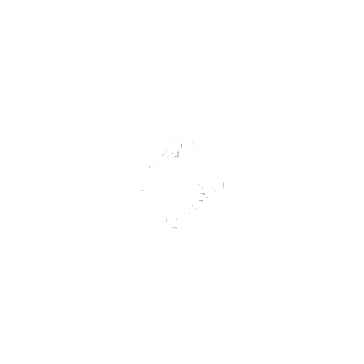 CC[C@H](C)[C@H]1NC(O)[C@@H](NC(=O)[C@H](CC(C)C)N(C)C(=O)[C@@H]2CCCN2C(=O)[C@H](C)O)[C@@H](C)OC(=O)[C@H](Cc2ccc(OC)cc2)N(C)C(=O)[C@@H]2CCCN2C(=O)[C@H](CC(C)C)NC(=O)[C@@H](C)C(=O)[C@H](C(C)C)OC(=O)C[C@@H]1O